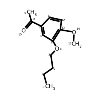 CCCCOc1cc(C(C)=O)ccc1OC